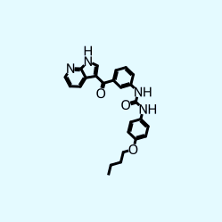 CCCCOc1ccc(NC(=O)Nc2cccc(C(=O)c3c[nH]c4ncccc34)c2)cc1